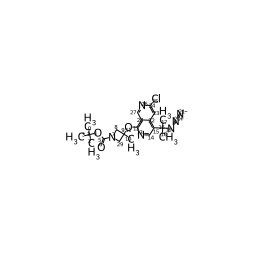 CC(C)(C)OC(=O)N1CC(C)(Oc2ncc(C(C)(C)N=[N+]=[N-])c3cc(Cl)ncc23)C1